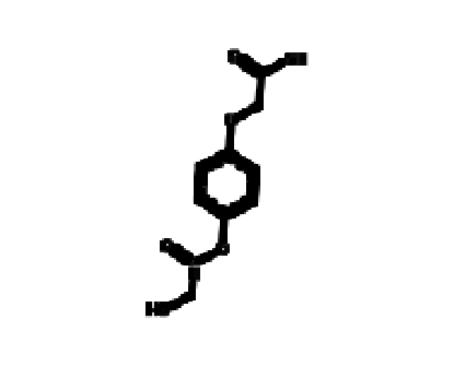 O=C(O)COc1ccc(O[PH](=O)CO)cc1